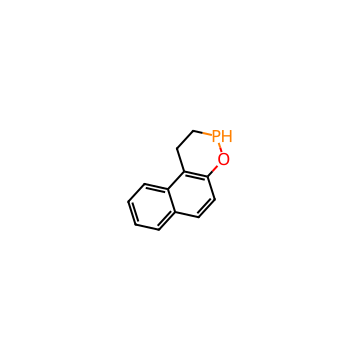 c1ccc2c3c(ccc2c1)OPCC3